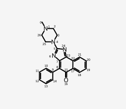 CN1CCN(C2=NC3=C(c4ccccc4)C(=O)c4ccccc4C3=N2)CC1